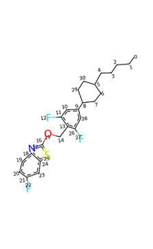 CCCCCC1CCC(c2cc(F)c(COc3nc4ccc(F)cc4s3)c(F)c2)CC1